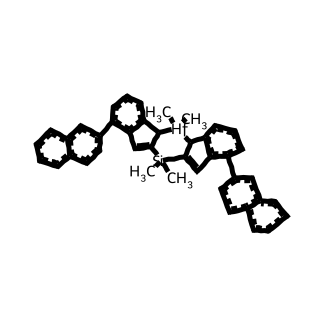 C[Si]1(C)C2=Cc3c(-c4ccc5ccccc5c4)cccc3[CH]2[Hf]([CH3])([CH3])[CH]2C1=Cc1c(-c3ccc4ccccc4c3)cccc12